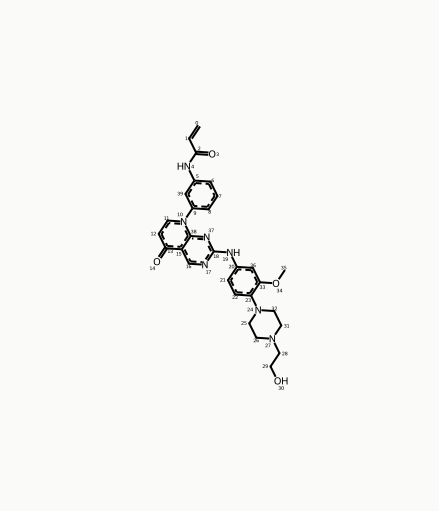 C=CC(=O)Nc1cccc(-n2ccc(=O)c3cnc(Nc4ccc(N5CCN(CCO)CC5)c(OC)c4)nc32)c1